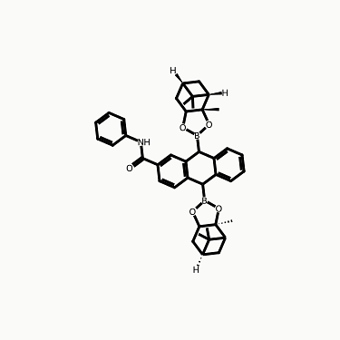 CC1(C)C2C[C@H]1CC1OB(C3c4ccccc4C(B4OC5C[C@@H]6C[C@@H](C6(C)C)[C@]5(C)O4)c4cc(C(=O)Nc5ccccc5)ccc43)O[C@]12C